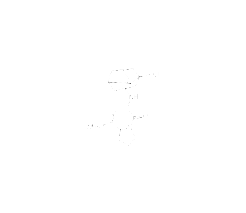 COC(=O)C1CCCN1C(=O)CNC12CC3CC(CC(O)(C3)C1)C2